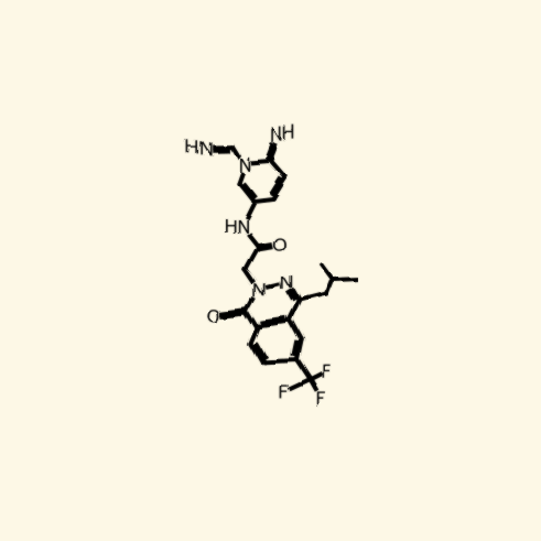 CC(C)Cc1nn(CC(=O)Nc2ccc(=N)n(C=N)c2)c(=O)c2ccc(C(F)(F)F)cc12